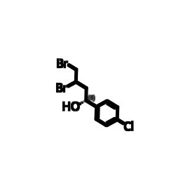 O[C@H](CC(Br)CBr)c1ccc(Cl)cc1